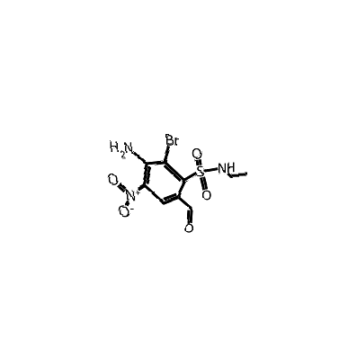 CCNS(=O)(=O)c1c(C=O)cc([N+](=O)[O-])c(N)c1Br